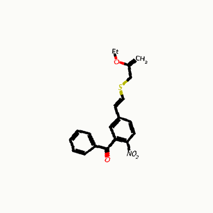 C=C(CSC=Cc1ccc([N+](=O)[O-])c(C(=O)c2ccccc2)c1)OCC